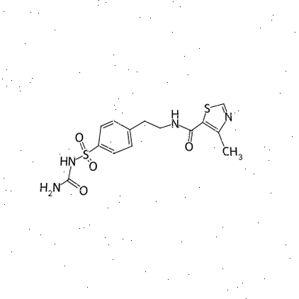 Cc1ncsc1C(=O)NCCc1ccc(S(=O)(=O)NC(N)=O)cc1